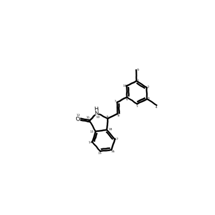 Cc1cc(C)cc(C=CC2NC(=O)c3ccccc32)c1